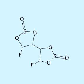 O=S1OC(F)C(C2OS(=O)OC2F)O1